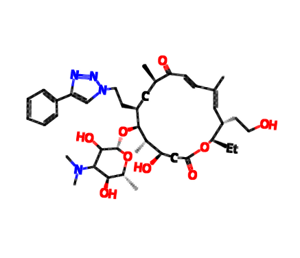 CC[C@H]1OC(=O)C[C@@H](O)[C@H](C)[C@@H](O[C@@H]2O[C@H](C)[C@@H](O)C(N(C)C)C2O)[C@@H](CCn2cc(-c3ccccc3)nn2)C[C@@H](C)C(=O)/C=C/C(C)=C/[C@@H]1CCO